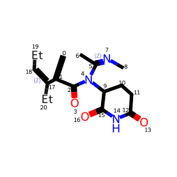 C=C(C(=O)N(/C(C)=N\C)C1CCC(=O)NC1=O)/C(=C\CC)CC